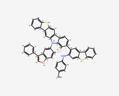 CC(C)(C)c1ccc(Nc2cc3sc4ccccc4c3cc2-c2ccc3c4cc5sc6ccccc6c5cc4n4c3c2Bc2cc3occ(-c5ccccc5)c3cc2-4)cc1